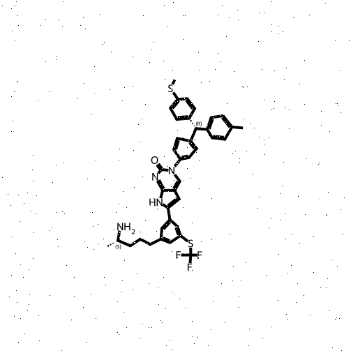 CSc1ccc([C@H](c2ccc(C)cc2)c2ccc(-n3cc4cc(-c5cc(CCC[C@H](C)N)cc(SC(F)(F)F)c5)[nH]c4nc3=O)cc2)cc1